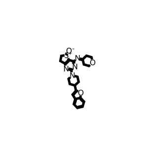 [O-][S+]1CCc2nc(N3CCC(c4cc5ccccc5o4)CC3)nc(N=C3CCOCC3)c21